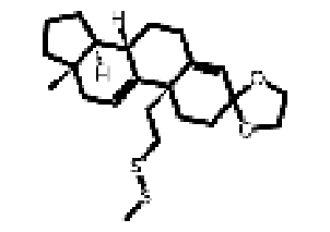 CSSCC[C@]12CCC3(C=C1CC[C@@H]1C2=CC[C@]2(C)CCC[C@@H]12)OCCO3